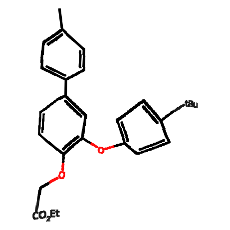 CCOC(=O)COc1ccc(-c2ccc(C)cc2)cc1Oc1ccc(C(C)(C)C)cc1